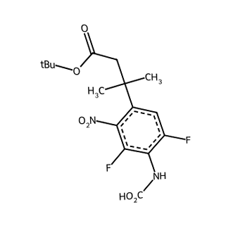 CC(C)(C)OC(=O)CC(C)(C)c1cc(F)c(NC(=O)O)c(F)c1[N+](=O)[O-]